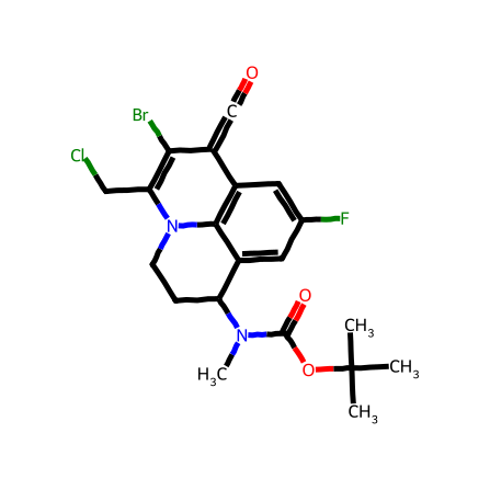 CN(C(=O)OC(C)(C)C)C1CCN2C(CCl)=C(Br)C(=C=O)c3cc(F)cc1c32